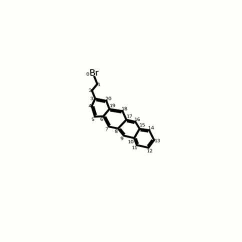 BrCCc1ccc2cc3cc4ccccc4cc3cc2c1